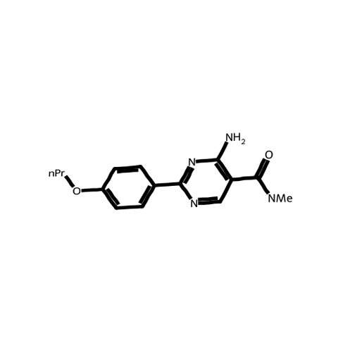 CCCOc1ccc(-c2ncc(C(=O)NC)c(N)n2)cc1